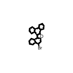 Brc1cc2oc3c4ccccc4c4ccccc4c3c2c2ccccc12